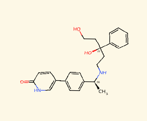 C[C@H](NCC[C@](O)(CCO)c1ccccc1)c1ccc(-c2ccc(=O)[nH]c2)cc1